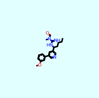 CCCCC(NC(=N)N(C)C=O)c1cncc(-c2cccc(OC)c2)c1